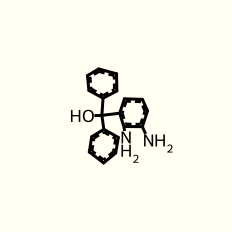 Nc1cccc(C(O)(c2ccccc2)c2ccccc2)c1N